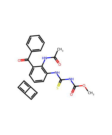 COC(=O)NC(=S)Nc1cccc(C(=O)c2ccccc2)c1NC(C)=O.c1cc2ccc1-2